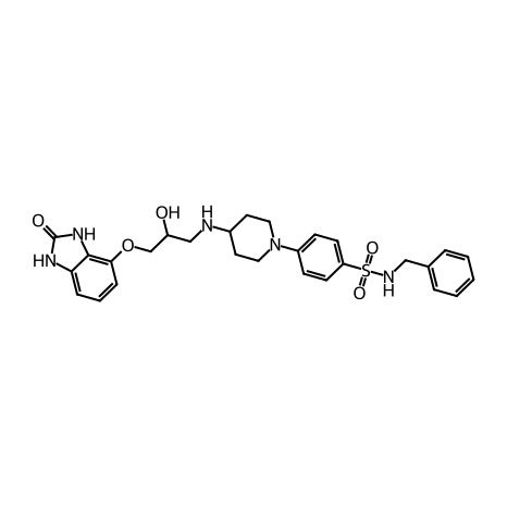 O=c1[nH]c2cccc(OCC(O)CNC3CCN(c4ccc(S(=O)(=O)NCc5ccccc5)cc4)CC3)c2[nH]1